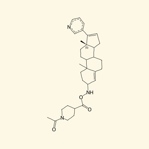 CC(=O)N1CCC(C(=O)ONC2C=C3CCC4C(CC[C@]5(C)C(c6cccnc6)=CCC45)C3(C)CC2)CC1